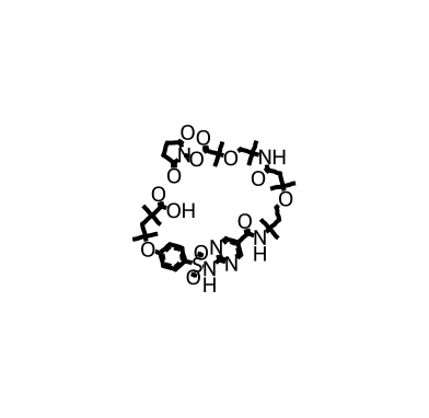 CC(C)(COC(C)(C)C(=O)ON1C(=O)CCC1=O)NC(=O)CC(C)(C)OCCC(C)(C)NC(=O)c1cnc(NS(=O)(=O)c2ccc(OC(C)(C)CC(C)(C)C(=O)O)cc2)nc1